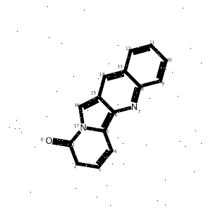 O=C1CC=Cc2c3nc4ccccc4cc3cn21